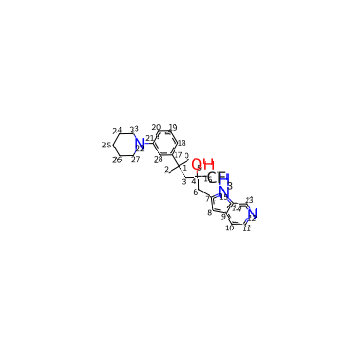 CC(C)(CC(O)(Cc1cc2ccncc2[nH]1)C(F)(F)F)c1cccc(N2CCCCC2)c1